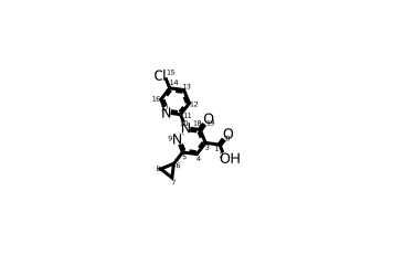 O=C(O)c1cc(C2CC2)nn(-c2ccc(Cl)cn2)c1=O